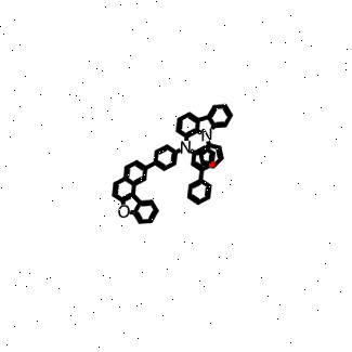 c1ccc(-c2cccc(N(c3ccc(-c4ccc5ccc6oc7ccccc7c6c5c4)cc3)c3cccc4c5ccccc5n(-c5ccccc5)c34)c2)cc1